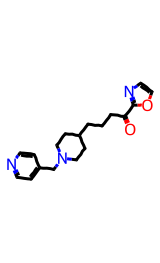 O=C(CCCC1CCN(Cc2ccncc2)CC1)c1ncco1